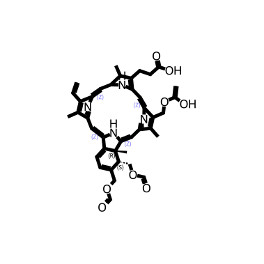 C=CC1=C(C)C2=NC/1=C\C1NC(=C(CCC(=O)O)C1C)/C=C1N=C(/C=C3\N/C(=C\2)C2=CC=C(COC=O)[C@@H](COC=O)[C@]23C)C(C)=C\1COC(=C)O